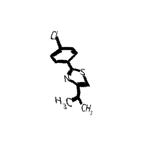 CC(C)c1csc(-c2ccc(Cl)cc2)n1